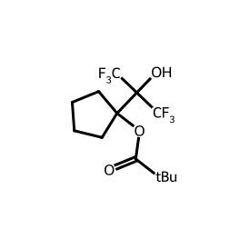 CC(C)(C)C(=O)OC1(C(O)(C(F)(F)F)C(F)(F)F)CCCC1